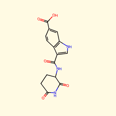 O=C1CCC(NC(=O)c2c[nH]c3cc(C(=O)O)ccc23)C(=O)N1